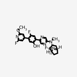 COc1cc(-c2cc(O)c(-c3cnc(N(C)[C@@H]4C[C@H]5CC[C@H](N5)[C@@H]4F)cn3)cc2F)cc(F)n1